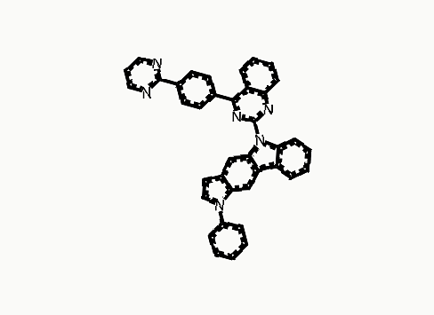 c1ccc(-n2ccc3cc4c(cc32)c2ccccc2n4-c2nc(-c3ccc(-c4ncccn4)cc3)c3ccccc3n2)cc1